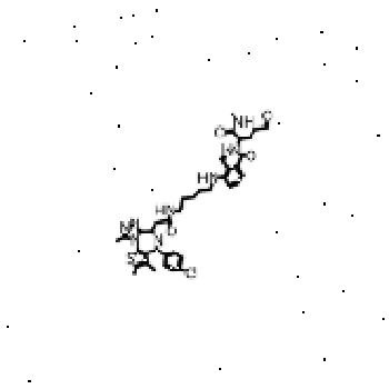 CNC(=O)C(CCC=O)n1ncc2c(NCCCCCNC(=O)CC3N=C(c4ccc(Cl)cc4)c4c(sc(C)c4C)-n4c(C)nnc43)cccc2c1=O